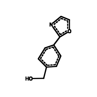 OCc1ccc(-c2ncco2)cc1